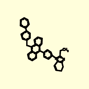 CCc1nc2c(n1-c1ccc(-c3c4ccccc4c(Cc4ccc(-c5ccccc5)cc4)c4ccccc34)cc1)C=CCC2